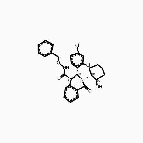 O=C(NOCc1ccccc1)[C@@H]1c2ccccc2C(=O)N([C@@H]2CCCC[C@H]2O)[C@H]1c1ccc(Cl)cc1Cl